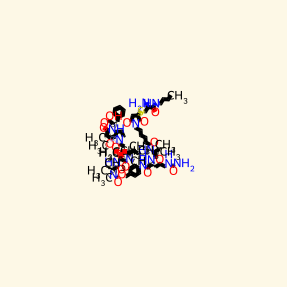 CCCCNC(=O)C(N)CSC1CC(=O)N(CCCCCC(=O)N[C@H](C(=O)N[C@@H](CCCNC(N)=O)C(=O)Nc2ccc(COC(=O)N(C)[C@H](C(=O)N[C@H](C(=O)N(C)[C@@H]([C@@H](C)CC)[C@@H](CC(=O)N3CCC/C3=C(/OC)[C@@H](C)C(=O)N[C@@H](Cc3ccccc3)C(=O)O)OC)C(C)C)C(C)C)cc2)C(C)C)C1=O